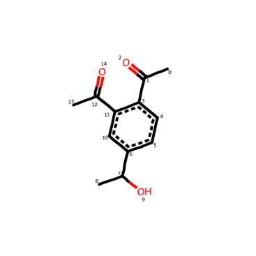 CC(=O)c1ccc(C(C)O)cc1C(C)=O